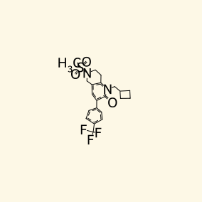 CS(=O)(=O)N1CCc2c(cc(-c3ccc(C(F)(F)F)cc3)c(=O)n2CC2CCC2)C1